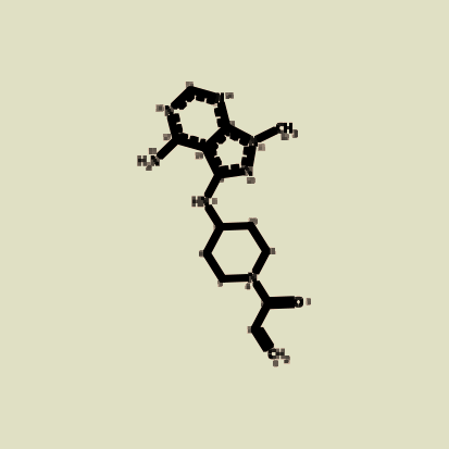 C=CC(=O)N1CCC(Nc2nn(C)c3ncnc(N)c23)CC1